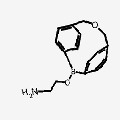 NCCOB1c2ccc(cc2)COCc2ccc1cc2